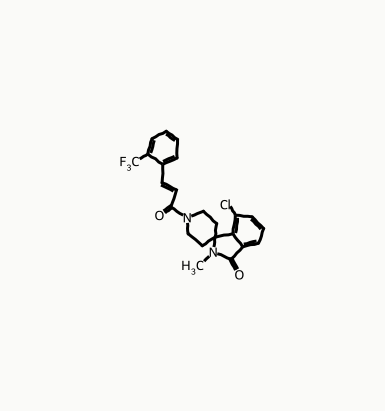 CN1C(=O)c2cccc(Cl)c2C12CCN(C(=O)C=Cc1ccccc1C(F)(F)F)CC2